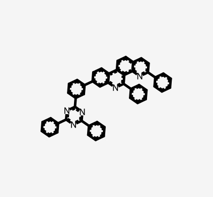 c1ccc(-c2ccc3ccc4c5ccc(-c6cccc(-c7nc(-c8ccccc8)nc(-c8ccccc8)n7)c6)cc5nc(-c5ccccc5)c4c3n2)cc1